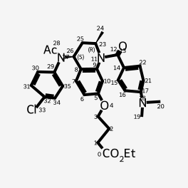 CCOC(=O)CCCOc1ccc2c(c1)N(C(=O)c1ccc(N(C)C)cc1)[C@H](C)C[C@@H]2N(C(C)=O)c1ccc(Cl)cc1